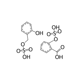 O=C(O)c1ccccc1OS(=O)(=O)O.O=S(=O)(O)OCc1ccccc1O